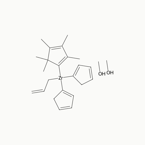 C=C[CH2][Zr]([C]1=CC=CC1)([C]1=CC=CC1)[C]1=C(C)C(C)=C(C)C1(C)C.CO.CO